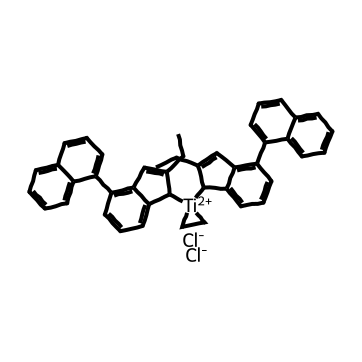 CCC1=Cc2c(-c3cccc4ccccc34)cccc2[CH]1[Ti+2]1([CH]2C(CC)=Cc3c(-c4cccc5ccccc45)cccc32)[CH2][CH2]1.[Cl-].[Cl-]